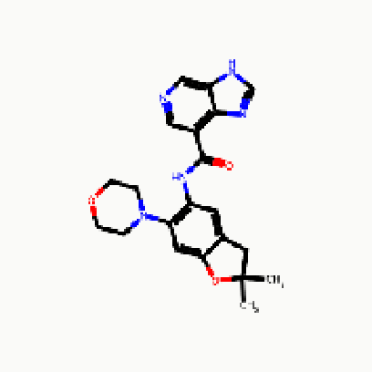 CC1(C)Cc2cc(NC(=O)c3cncc4[nH]cnc34)c(N3CCOCC3)cc2O1